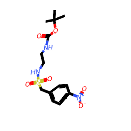 CC(C)(C)OC(=O)NCCNS(=O)(=O)Cc1ccc([N+](=O)[O-])cc1